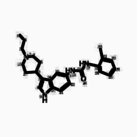 CCCN1CCC(c2c[nH]c3ccc(NC(=O)Nc4ccccc4C)cc23)CC1